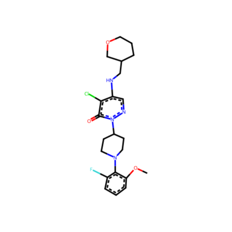 COc1cccc(F)c1N1CCC(n2ncc(NCC3CCCOC3)c(Cl)c2=O)CC1